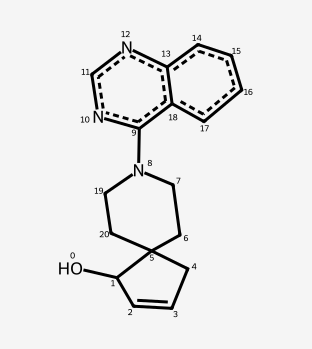 OC1C=CCC12CCN(c1ncnc3ccccc13)CC2